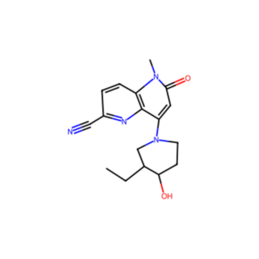 CCC1CN(c2cc(=O)n(C)c3ccc(C#N)nc23)CCC1O